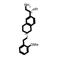 CCC[C@@H](CN)c1ccc2c(c1)CC[C@@H](CCc1ccccc1OC)C2